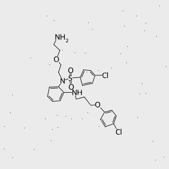 NCCOCCN(c1ccccc1NCCCOc1ccc(Cl)cc1)S(=O)(=O)c1ccc(Cl)cc1